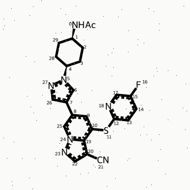 CC(=O)N[C@H]1CC[C@@H](n2cc(-c3cc(Sc4ccc(F)cn4)c4c(C#N)cnn4c3)cn2)CC1